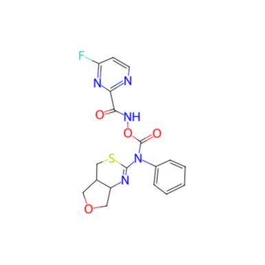 O=C(NOC(=O)N(C1=NC2COCC2CS1)c1ccccc1)c1nccc(F)n1